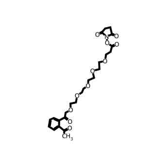 CC(=O)c1ccccc1C(=O)COCCOCCOCCOCCOCCC(=O)ON1C(=O)CCC1=O